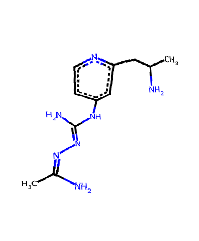 C/C(N)=N/N=C(\N)Nc1ccnc(CC(C)N)c1